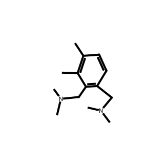 Cc1ccc(CN(C)C)c(CN(C)C)c1C